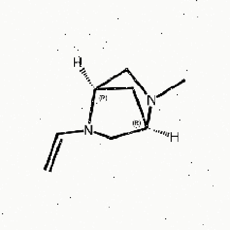 C=CN1C[C@H]2C[C@@H]1CN2C